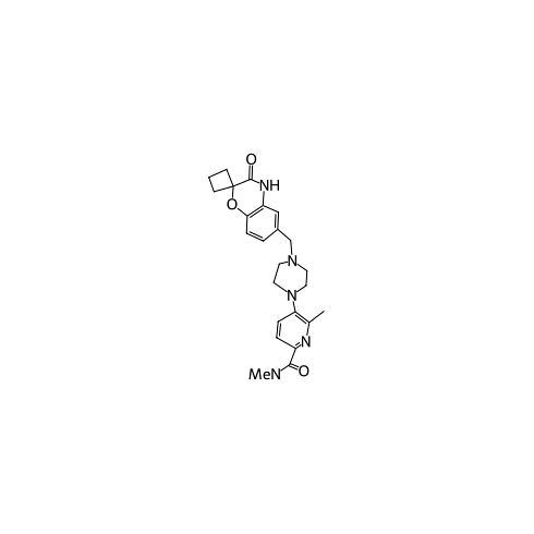 CNC(=O)c1ccc(N2CCN(Cc3ccc4c(c3)NC(=O)C3(CCC3)O4)CC2)c(C)n1